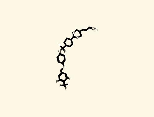 C=CCCC1COC(C2CCC(C(F)(F)Oc3ccc(OCc4cc(F)c(C(F)(F)F)c(F)c4)cc3)CC2)OC1